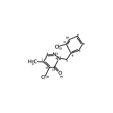 Cc1cnn(Cc2ccccc2Cl)c(=O)c1Cl